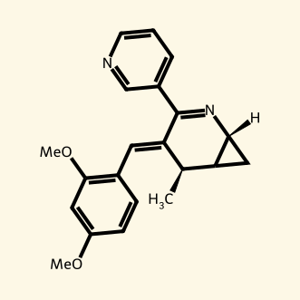 COc1ccc(/C=C2/C(c3cccnc3)=N[C@@H]3CC3[C@H]2C)c(OC)c1